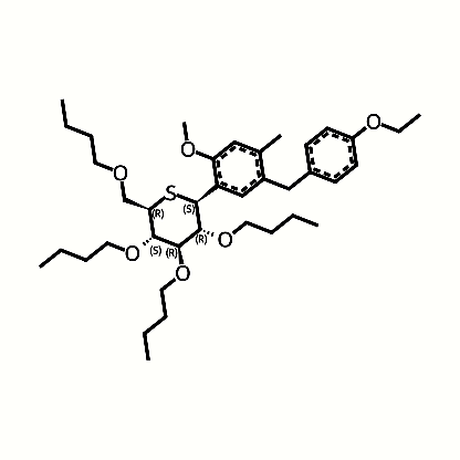 CCCCOC[C@H]1S[C@@H](c2cc(Cc3ccc(OCC)cc3)c(C)cc2OC)[C@H](OCCCC)[C@@H](OCCCC)[C@@H]1OCCCC